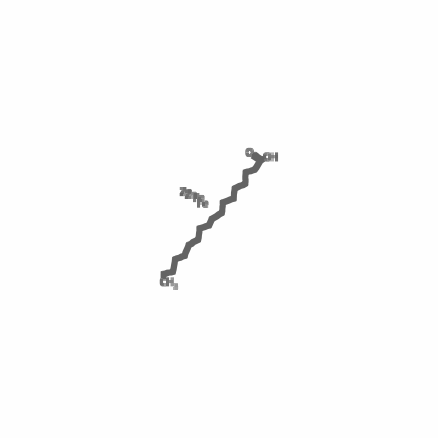 CCCCCCCCCCCCCCCCCC(=O)O.[Fe].[Fe].[Zn].[Zn]